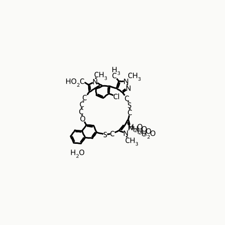 Cc1c2c(nn1C)CSCc1cc(n(C)n1)CSc1cc(c3ccccc3c1)OCCCc1c(C(=O)O)n(C)c3c-2c(Cl)ccc13.O.O.O.O.O